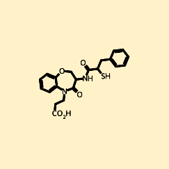 O=C(O)CCN1C(=O)C(NC(=O)C(S)Cc2ccccc2)COc2ccccc21